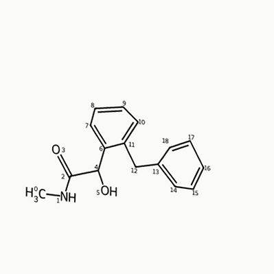 CNC(=O)C(O)c1ccccc1Cc1ccccc1